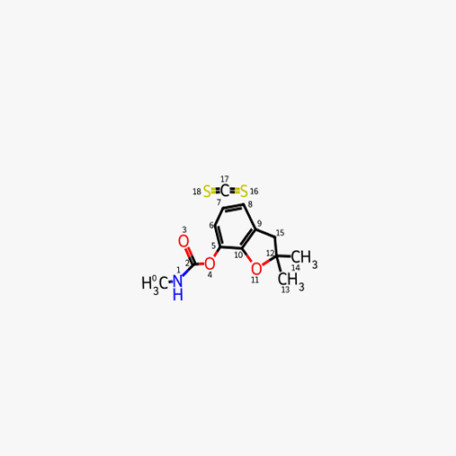 CNC(=O)Oc1cccc2c1OC(C)(C)C2.S=C=S